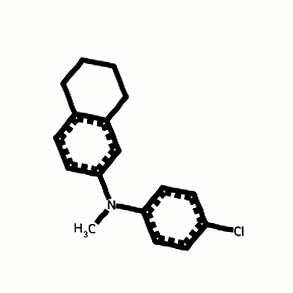 CN(c1ccc(Cl)cc1)c1ccc2c(c1)CCCC2